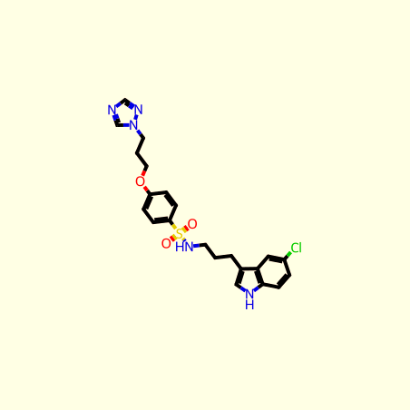 O=S(=O)(NCCCc1c[nH]c2ccc(Cl)cc12)c1ccc(OCCCn2cncn2)cc1